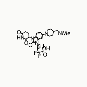 CNCC1CCN(c2ccc3c(c2)n(C)c(=O)n3C2CCC(=O)NC2=O)CC1.O=C(O)C(F)(F)F